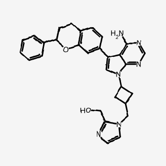 Nc1ncnc2c1c(-c1ccc3c(c1)OC(c1ccccc1)CC3)cn2C1CC(Cn2ccnc2CO)C1